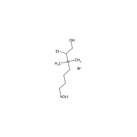 CCCCCCCCCCCC[N+](C)(C)C(CC)CO.[Br-]